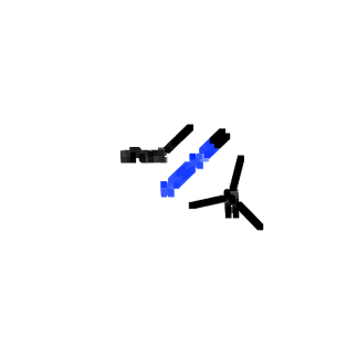 C=[N+]=[N-].CCCCCC.C[SiH](C)C